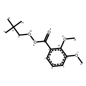 COc1cccc(C(=O)OO[CH]C(C)(C)C)c1OC